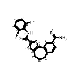 N=C(N)c1ccc2c(c1)-c1sc(C(=O)Nc3c(F)cccc3F)nc1CCC2